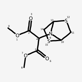 COC(=O)C(C(=O)OC)N1C2CSC1CS2